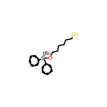 CC(C)(C)[Si](OCCCCCCS)(c1ccccc1)c1ccccc1